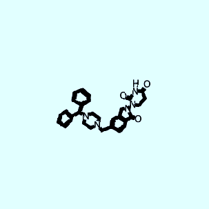 O=C1CCN(N2Cc3cc(CN4CCN(C(c5ccccc5)c5ccccc5)CC4)ccc3C2=O)C(=O)N1